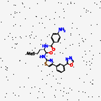 CSCC[C@H](NC(=O)c1ccc(N)cc1)C(=O)Nc1nc(-c2cccc(-c3nnco3)c2)cs1